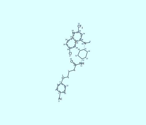 CC(=O)c1ccc(OCCCC(=O)N[C@H]2CC[C@@H](N(C)c3cc(C(F)(F)F)nc4ccc(Cl)cc34)CC2)cc1